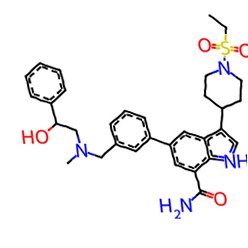 CCS(=O)(=O)N1CCC(c2c[nH]c3c(C(N)=O)cc(-c4cccc(CN(C)CC(O)c5ccccc5)c4)cc23)CC1